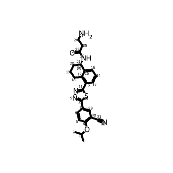 CC(C)Oc1ccc(-c2nnc(-c3cccc4c3CCC[C@H]4NC(=O)CCN)s2)cc1C#N